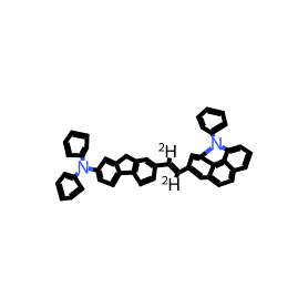 [2H]/C(=C(/[2H])c1cc2ccc3cccc4c3c2c(c1)n4-c1ccccc1)c1ccc2c(c1)Cc1cc(N(c3ccccc3)c3ccccc3)ccc1-2